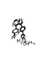 CC(C)(O)Cn1cc(-c2ccc(-c3cnn4ccnc(C5CCC(C#N)CC5)c34)cc2Cl)cn1